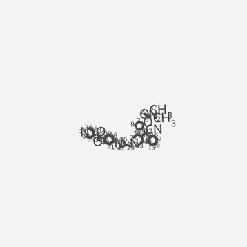 CN(C)C(=O)O[C@H]1CCC[C@@H]1C(C#N)(c1ccccc1)C1CCN(CC2CN(c3ccc(S(=O)(=O)c4ccncc4)cc3)C2)CC1